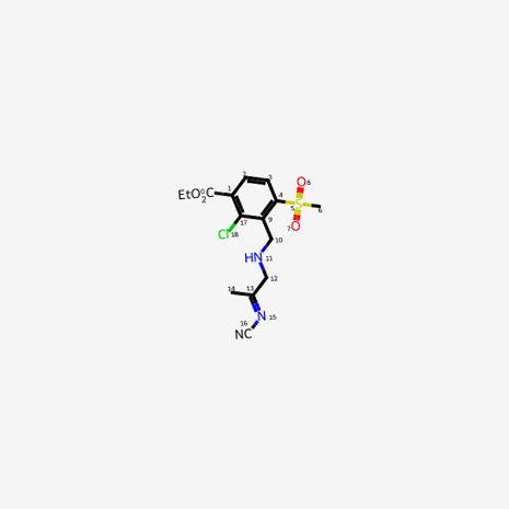 CCOC(=O)c1ccc(S(C)(=O)=O)c(CNC/C(C)=N/C#N)c1Cl